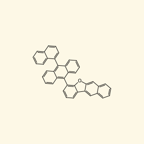 c1ccc2cc3c(cc2c1)oc1c(-c2c4ccccc4c(-c4cccc5ccccc45)c4ccccc24)cccc13